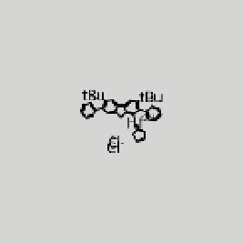 CC(C)(C)c1cc2c(cc1-c1ccccc1)Cc1c-2cc(C(C)(C)C)c(-c2ccccc2)[c]1[Hf+2][C]1=CC=CC1.[Cl-].[Cl-]